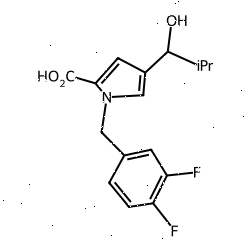 CC(C)C(O)c1cc(C(=O)O)n(Cc2ccc(F)c(F)c2)c1